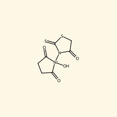 O=C1CSC(=S)N1[N+]1(O)C(=O)CCC1=O